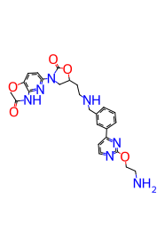 NCCOc1nccc(-c2cccc(CNCCC3CN(c4ccc5c(n4)NC(=O)CO5)C(=O)O3)c2)n1